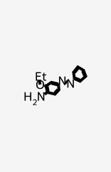 CCOc1cc(N=Nc2ccccc2)ccc1N